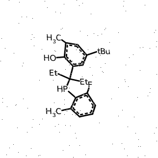 CCC(CC)(Pc1c(C)cccc1F)c1cc(C(C)(C)C)cc(C)c1O